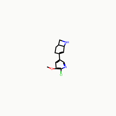 COc1cc(C2=CC3NCC3CC2)cnc1Cl